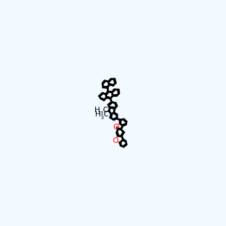 CC1(C)c2ccc(-c3cccc4c3oc3cc5oc6ccccc6c5cc34)cc2-c2ccc(-c3c4ccccc4c(-c4cccc5ccccc45)c4ccccc34)cc21